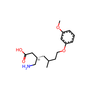 COc1cccc(OCCC(C)C[C@H](CN)CC(=O)O)c1